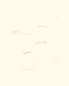 Cc1cc(C#N)c(-c2ccccc2)c(C#N)c1